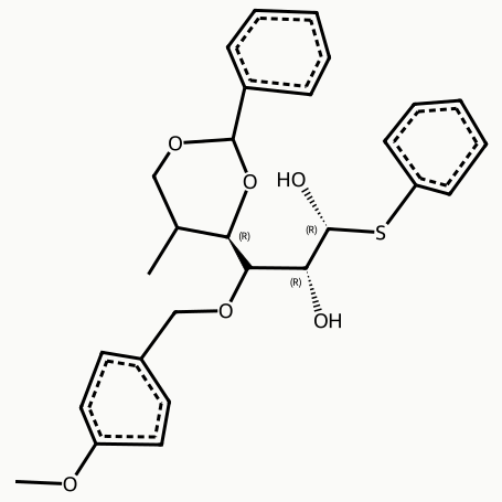 COc1ccc(COC([C@@H]2OC(c3ccccc3)OCC2C)[C@@H](O)[C@H](O)Sc2ccccc2)cc1